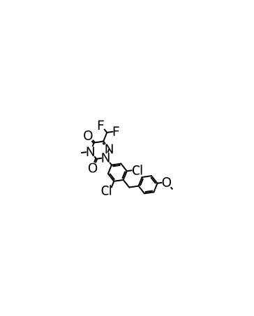 COc1ccc(Cc2c(Cl)cc(-n3nc(C(F)F)c(=O)n(C)c3=O)cc2Cl)cc1